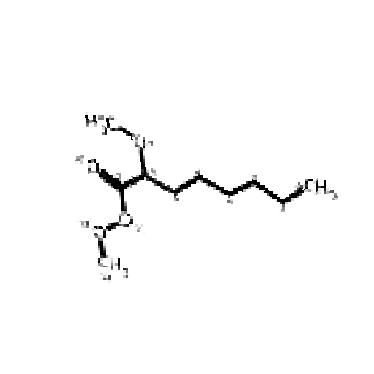 CCCCCCC(OC)C(=O)OOC